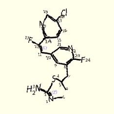 C/N=C(/N)SC(C)Cc1cc(/C=C(/F)c2ccc(Cl)cn2)cnc1F